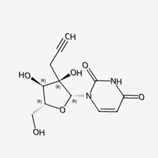 C#CC[C@@]1(O)[C@H](O)[C@@H](CO)O[C@H]1n1ccc(=O)[nH]c1=O